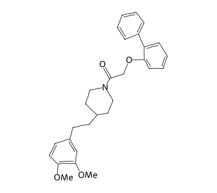 COc1ccc(CCC2CCN(C(=O)COc3ccccc3-c3ccccc3)CC2)cc1OC